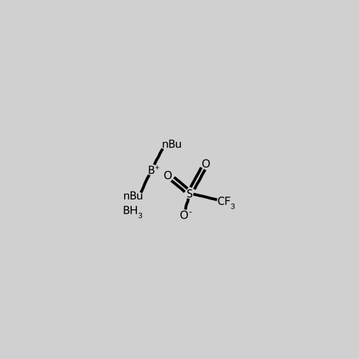 B.CCCC[B+]CCCC.O=S(=O)([O-])C(F)(F)F